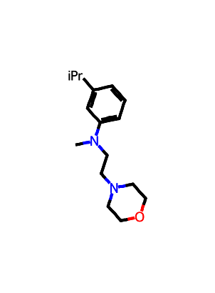 CC(C)c1cccc(N(C)CCN2CCOCC2)c1